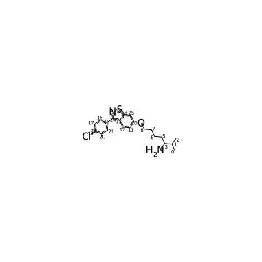 CC(C)C(N)CCCCOc1ccc2c(-c3ccc(Cl)cc3)nsc2c1